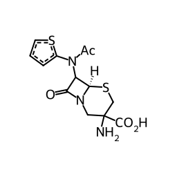 CC(=O)N(c1cccs1)C1C(=O)N2CC(N)(C(=O)O)CS[C@H]12